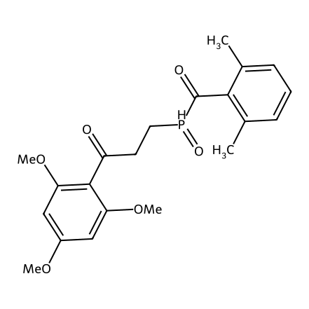 COc1cc(OC)c(C(=O)CC[PH](=O)C(=O)c2c(C)cccc2C)c(OC)c1